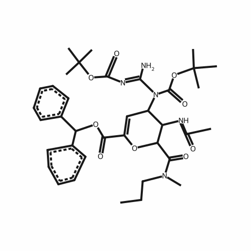 CCCN(C)C(=O)C1OC(C(=O)OC(c2ccccc2)c2ccccc2)=CC(N(C(=O)OC(C)(C)C)C(N)=NC(=O)OC(C)(C)C)C1NC(C)=O